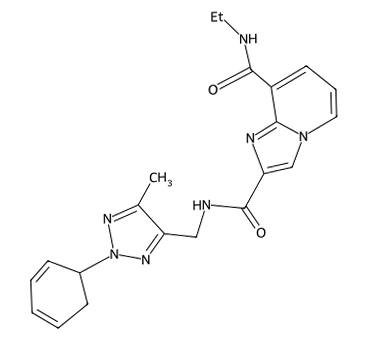 CCNC(=O)c1cccn2cc(C(=O)NCc3nn(C4C=CC=CC4)nc3C)nc12